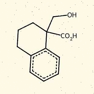 O=C(O)C1(CO)CCCc2ccccc21